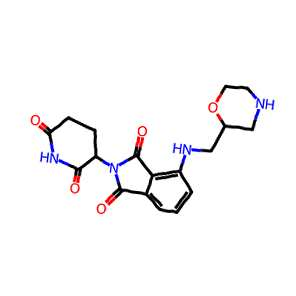 O=C1CCC(N2C(=O)c3cccc(NCC4CNCCO4)c3C2=O)C(=O)N1